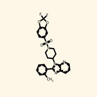 Cc1ccccc1-c1nc2cccnc2n1C1CCN(S(=O)(=O)c2ccc3c(c2)OC(F)(F)O3)CC1